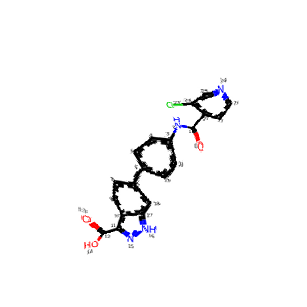 O=C(Nc1ccc(-c2ccc3c(C(=O)O)n[nH]c3c2)cc1)c1ccncc1Cl